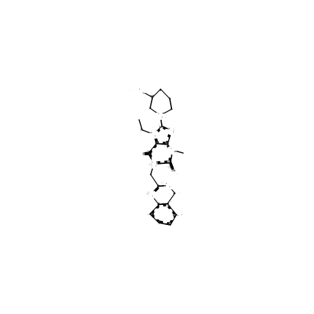 CCn1c(N2CCCC(N)C2)nc2c1c(=O)n(CC1=Nc3ccccc3CN1)c(=O)n2C